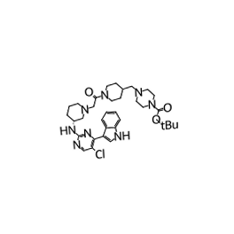 CC(C)(C)OC(=O)N1CCN(CC2CCN(C(=O)CN3CCC[C@@H](Nc4ncc(Cl)c(-c5c[nH]c6ccccc56)n4)C3)CC2)CC1